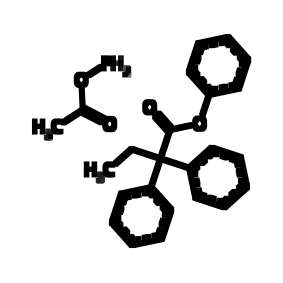 CC(=O)OP.CCC(C(=O)Oc1ccccc1)(c1ccccc1)c1ccccc1